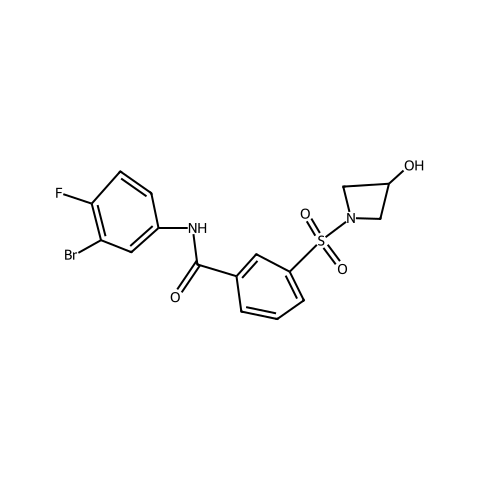 O=C(Nc1ccc(F)c(Br)c1)c1cccc(S(=O)(=O)N2CC(O)C2)c1